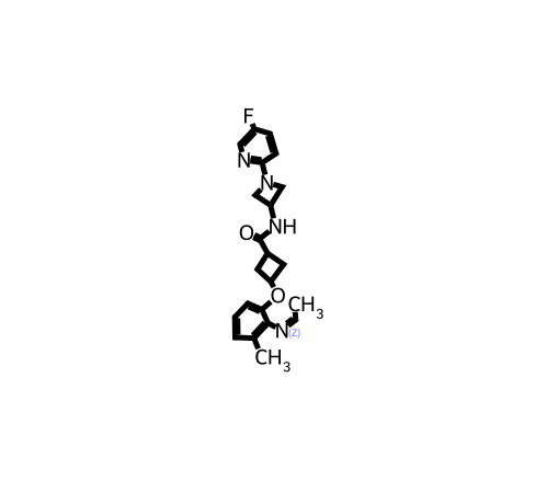 C/C=N\c1c(C)cccc1OC1CC(C(=O)NC2CN(c3ccc(F)cn3)C2)C1